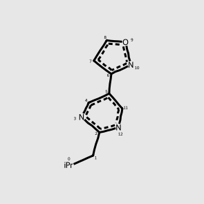 CC(C)Cc1ncc(-c2ccon2)cn1